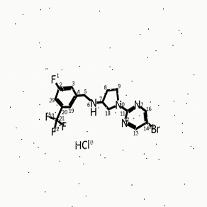 Cl.Fc1cc(CNC2CCN(c3ncc(Br)cn3)C2)cc(C(F)(F)F)c1